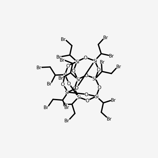 BrCC(Br)[Si]12O[Si]3(C(Br)CBr)O[Si]4(C(Br)CBr)O[Si](C(Br)CBr)(O1)O[Si]1(C(Br)CBr)O[Si](C(Br)CBr)(O2)O[Si](C(Br)CBr)(O3)O[Si](C(Br)CBr)(O4)O1